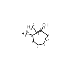 CC1=C(O)CCCCCC1C